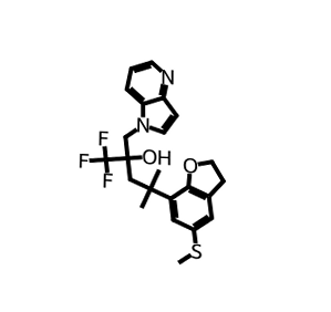 CSc1cc2c(c(C(C)(C)CC(O)(Cn3ccc4ncccc43)C(F)(F)F)c1)OCC2